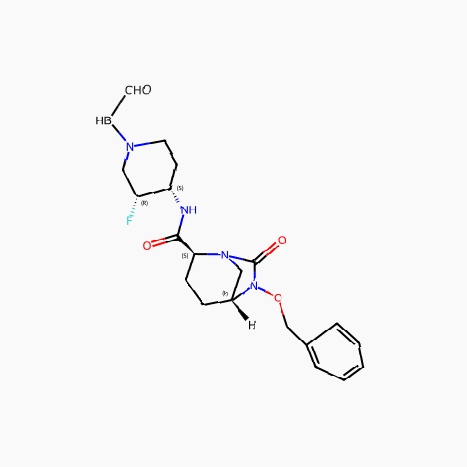 O=CBN1CC[C@H](NC(=O)[C@@H]2CC[C@@H]3CN2C(=O)N3OCc2ccccc2)[C@H](F)C1